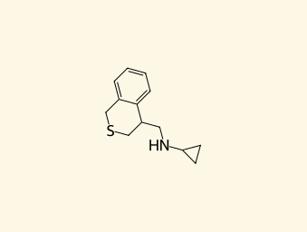 c1ccc2c(c1)CSCC2CNC1CC1